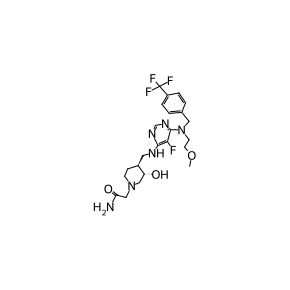 COCCN(Cc1ccc(C(F)(F)F)cc1)c1ncnc(NC[C@@H]2CCN(CC(N)=O)C[C@H]2O)c1F